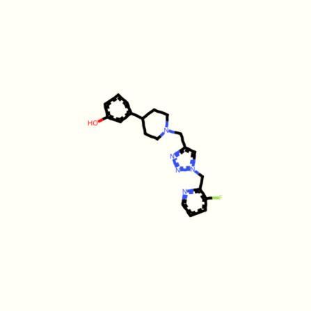 Oc1cccc(C2CCN(Cc3cn(Cc4ncccc4F)nn3)CC2)c1